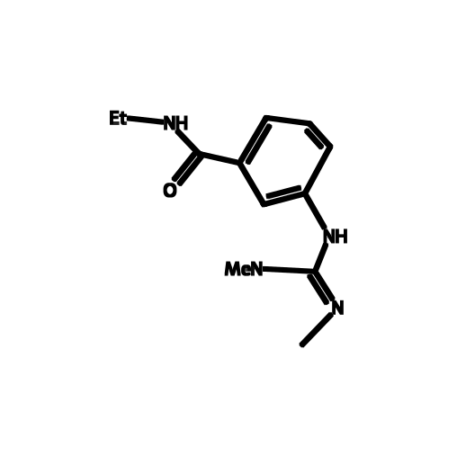 CCNC(=O)c1cccc(N/C(=N/C)NC)c1